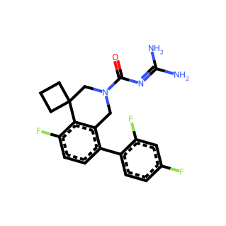 NC(N)=NC(=O)N1Cc2c(-c3ccc(F)cc3F)ccc(F)c2C2(CCC2)C1